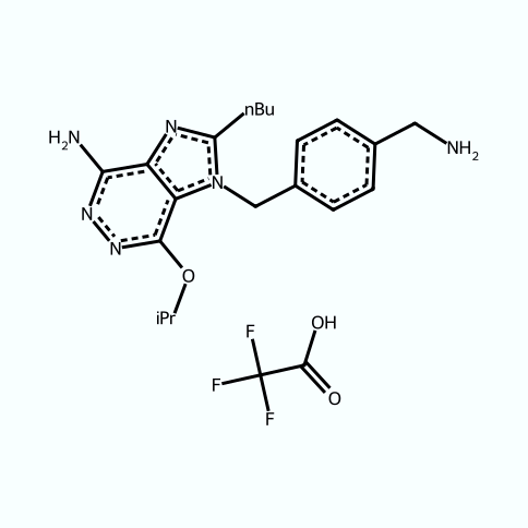 CCCCc1nc2c(N)nnc(OC(C)C)c2n1Cc1ccc(CN)cc1.O=C(O)C(F)(F)F